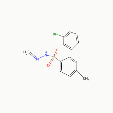 Brc1ccccc1.C=NNS(=O)(=O)c1ccc(C)cc1